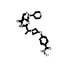 CC(c1nc2c(cnn2C2CCOCC2)c(=O)[nH]1)N1CC(Oc2ccc(C(=O)NO)cc2)C1